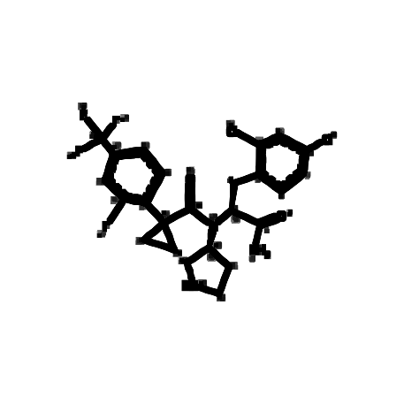 NC(=O)[C@H](Cc1ccc(Cl)cc1Cl)N(C(=O)C1(c2ccc(C(F)(F)F)cc2F)CC1)[C@H]1CCNC1